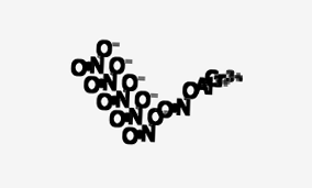 O=N[O-].O=N[O-].O=N[O-].O=N[O-].O=N[O-].O=N[O-].[Al+3].[Cr+3]